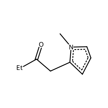 CCC(=O)Cc1cccn1C